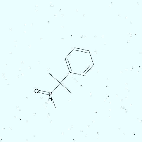 C[PH](=O)C(C)(C)c1ccccc1